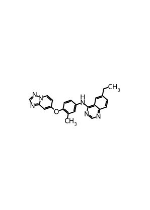 CCc1ccc2ncnc(Nc3ccc(Oc4ccn5ncnc5c4)c(C)c3)c2c1